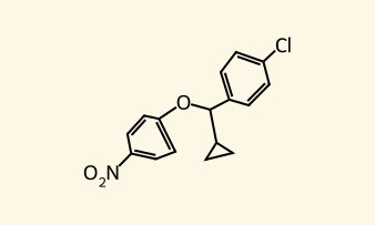 O=[N+]([O-])c1ccc(OC(c2ccc(Cl)cc2)C2CC2)cc1